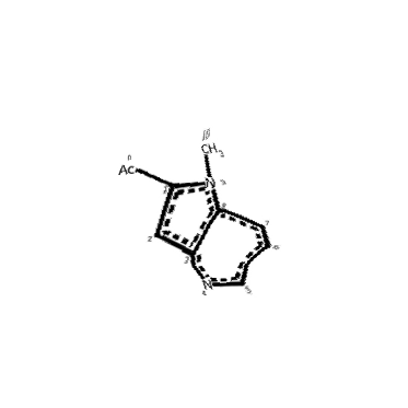 CC(=O)c1cc2ncccc2n1C